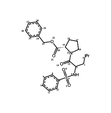 CC(C)CC(NS(=O)(=O)c1ccccc1)C(=O)N1CCC[C@H]1C(=O)OCc1ccccc1